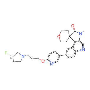 CN1C(=O)C2(CCOCC2)c2c1cnc1ccc(-c3ccc(OCCCN4CC[C@H](F)C4)nc3)cc21